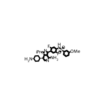 COc1cccc(S(=O)(=O)Nc2cc(F)c(-c3nn(C(C)C)c4c3c(N)ncc4[C@H]3CC[C@H](N)CC3)cc2F)c1